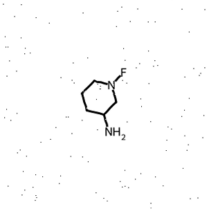 NC1CCCN(F)C1